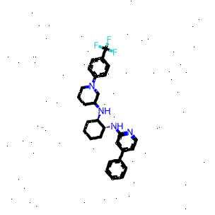 FC(F)(F)c1ccc(N2CCCC(N[C@@H]3CCCC[C@H]3Nc3cc(-c4ccccc4)ccn3)C2)cc1